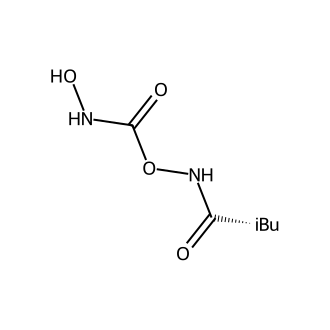 CC[C@@H](C)C(=O)NOC(=O)NO